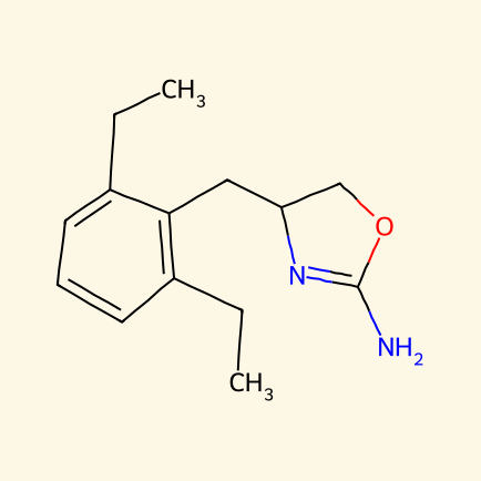 CCc1cccc(CC)c1CC1COC(N)=N1